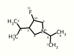 CC(C)C1CN(C(C)C)CC1F